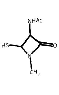 CC(=O)NC1C(=O)N(C)C1S